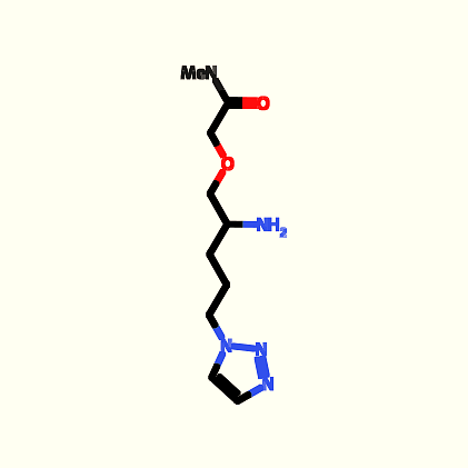 CNC(=O)COCC(N)CCCn1ccnn1